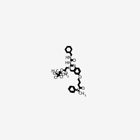 CN(C(=O)CCCOc1ccc2c(c1)CN(CC(=O)OC(C)(C)C(Cl)(Cl)Cl)C(NC(=O)NCC1CCCCC1)=N2)c1ccccc1